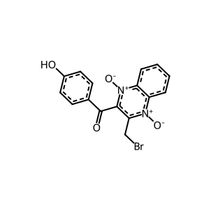 O=C(c1ccc(O)cc1)c1c(CBr)[n+]([O-])c2ccccc2[n+]1[O-]